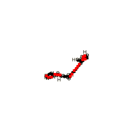 Cc1cn([C@H]2CC(OCCCCCCCCCCCOP(=O)(O)OCCOCCNC(=O)OC[C@@H]3[C@@H]4CCc5c(nnn5C)CC[C@@H]43)[C@@H](CO)O2)c(=O)[nH]c1=O